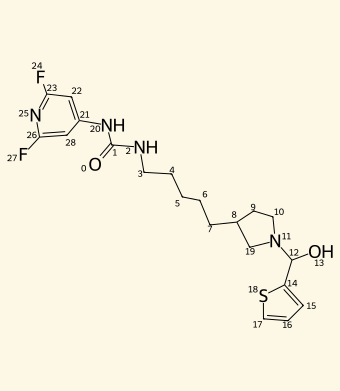 O=C(NCCCCCC1CCN(C(O)c2cccs2)C1)Nc1cc(F)nc(F)c1